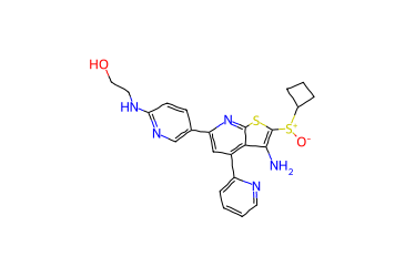 Nc1c([S+]([O-])C2CCC2)sc2nc(-c3ccc(NCCO)nc3)cc(-c3ccccn3)c12